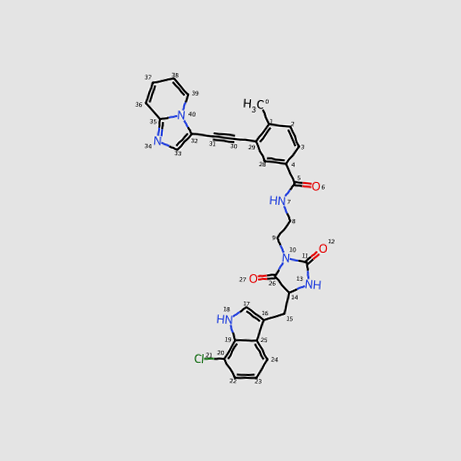 Cc1ccc(C(=O)NCCN2C(=O)NC(Cc3c[nH]c4c(Cl)cccc34)C2=O)cc1C#Cc1cnc2ccccn12